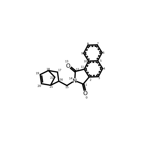 O=C1c2ccc3ccccc3c2C(=O)N1CC1CC2C=CC1C2